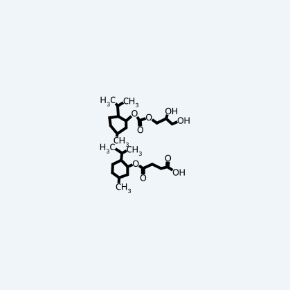 CC1CCC(C(C)C)C(OC(=O)CCC(=O)O)C1.CC1CCC(C(C)C)C(OC(=O)OCC(O)CO)C1